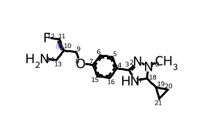 CN1N=C(c2ccc(OC/C(=C/F)CN)cc2)NC1C1CC1